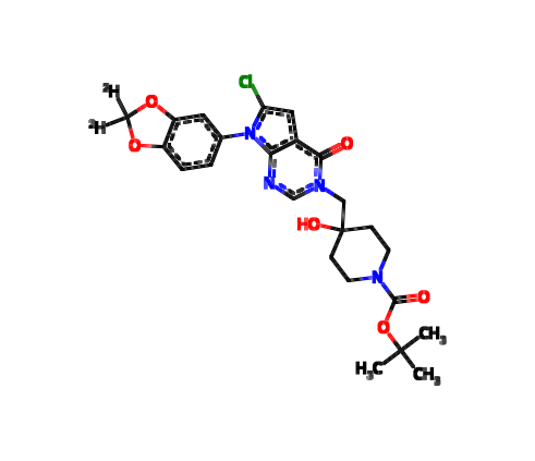 [2H]C1([2H])Oc2ccc(-n3c(Cl)cc4c(=O)n(CC5(O)CCN(C(=O)OC(C)(C)C)CC5)cnc43)cc2O1